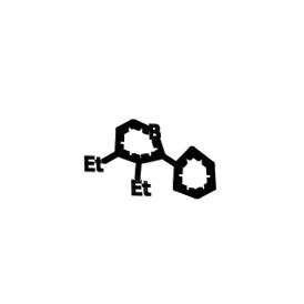 CCc1ccbc(-c2ccccc2)c1CC